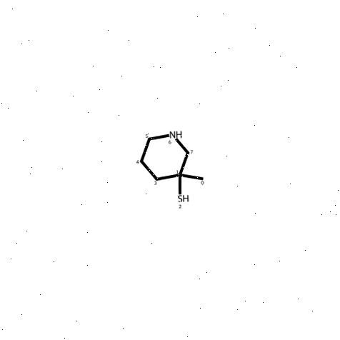 CC1(S)CCCNC1